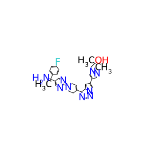 CC(C)(O)Cn1cc(-c2cc3c(C4=CCN(c5ncc(C(C)(N)c6ccc(F)cc6)cn5)CC4)ncnn3c2)cn1